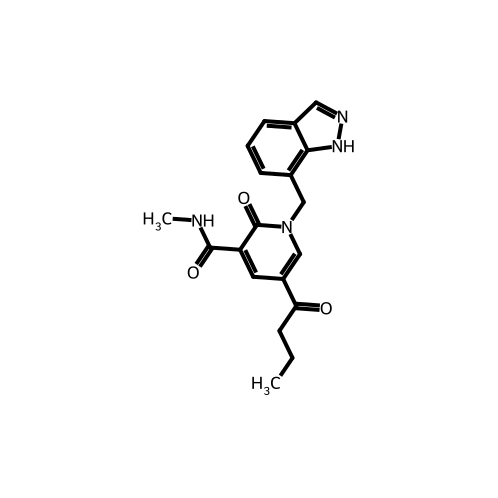 CCCC(=O)c1cc(C(=O)NC)c(=O)n(Cc2cccc3cn[nH]c23)c1